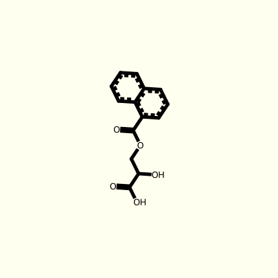 O=C(OCC(O)C(=O)O)c1cccc2ccccc12